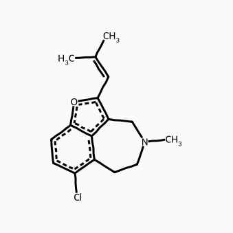 CC(C)=Cc1oc2ccc(Cl)c3c2c1CN(C)CC3